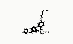 Br.CCCCCCCCCCCCCCOc1ccc(CN(C(C)=O)c2cccc(CN3C=CSC3)c2)cc1